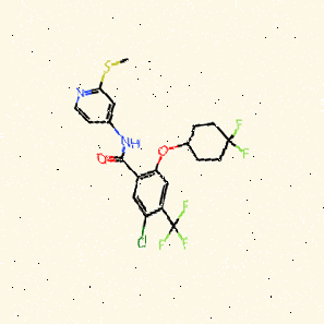 CSc1cc(NC(=O)c2cc(Cl)c(C(F)(F)F)cc2OC2CCC(F)(F)CC2)ccn1